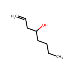 C=CC[C](O)CCCC